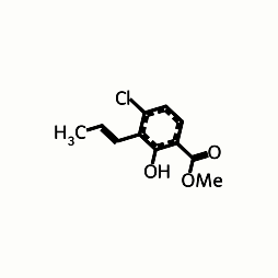 CC=Cc1c(Cl)ccc(C(=O)OC)c1O